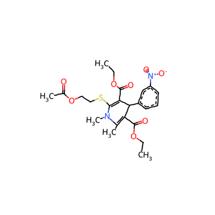 CCOC(=O)C1=C(C)N(C)C(SCCOC(C)=O)=C(C(=O)OCC)C1c1cccc([N+](=O)[O-])c1